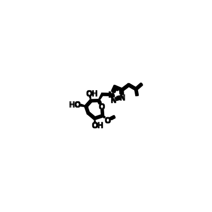 CO[C@H]1O[C@H](Cn2cc(CC(C)C)nn2)[C@@H](O)[C@H](O)C[C@H]1O